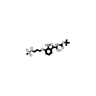 CC(C)(C)OC(=O)NC(O)C1OBc2c(OCCCNS(C)(=O)=O)cccc21